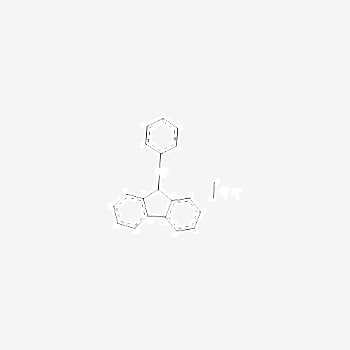 CC.[Cl-].[Cl-].c1cc[c]([Zr+2][CH]2c3ccccc3-c3ccccc32)cc1